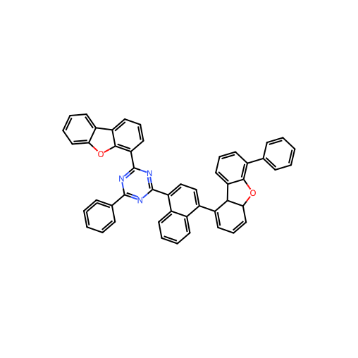 C1=C=C(c2nc(-c3ccc(C4=CC=CC5Oc6c(-c7ccccc7)cccc6C45)c4ccccc34)nc(-c3cccc4c3oc3ccccc34)n2)C=CC=1